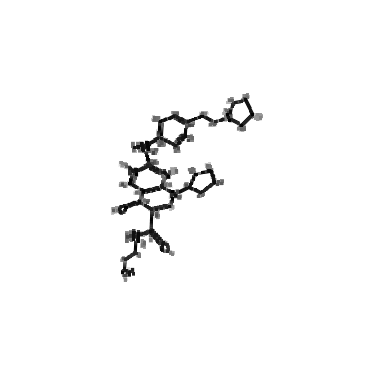 O=C(NCCO)c1cn(C2CCCC2)c2nc(Nc3ccc(CCN4CCCC4)cc3)ncc2c1=O